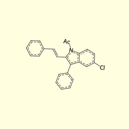 CC(=O)n1c(C=Cc2ccccc2)c(-c2ccccc2)c2cc(Cl)ccc21